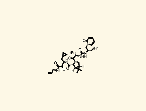 C=CCNC(=O)C(=O)C(CC1CC1)NC(=O)[C@@H]1[C@@H]2[C@H](CN1C(=O)[C@@H](NC(=O)N[C@@H](CC(C)C)Cn1ccccc1=O)C(C)(C)C)C2(C)C